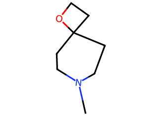 CN1CCC2(CCO2)CC1